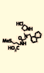 CSCC[C@H](NC(=O)CN(Cc1cccc2ccccc12)C[C@@H]1CCCN1)C(=O)O.Cl